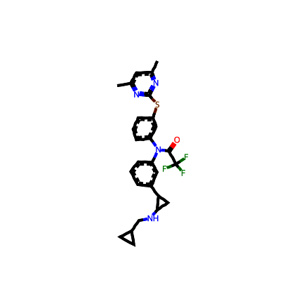 Cc1cc(C)nc(Sc2cccc(N(C(=O)C(F)(F)F)c3cccc(C4CC4NCC4CC4)c3)c2)n1